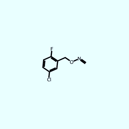 C=NOCc1cc(Cl)ccc1F